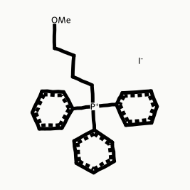 COCCCC[P+](c1ccccc1)(c1ccccc1)c1ccccc1.[I-]